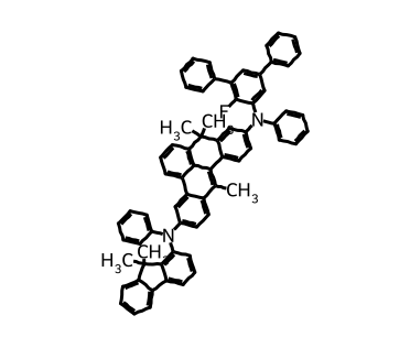 Cc1c2c3c(cccc3c3cc(N(c4ccccc4)c4cccc5c4C(C)(C)c4ccccc4-5)ccc13)C(C)(C)c1cc(N(c3ccccc3)c3cc(-c4ccccc4)cc(-c4ccccc4)c3F)ccc1-2